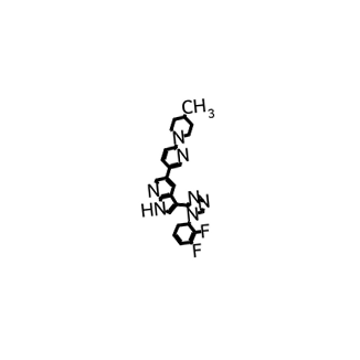 CC1CCN(c2ccc(-c3cnc4[nH]cc(-c5nncn5C5CC=CC(F)=C5F)c4c3)cn2)CC1